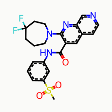 CS(=O)(=O)c1cccc(NC(=O)c2cc3ccncc3nc2N2CCCC(F)(F)CC2)c1